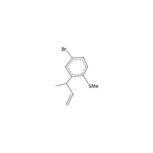 [CH2]C(C=C)c1cc(Br)ccc1SC